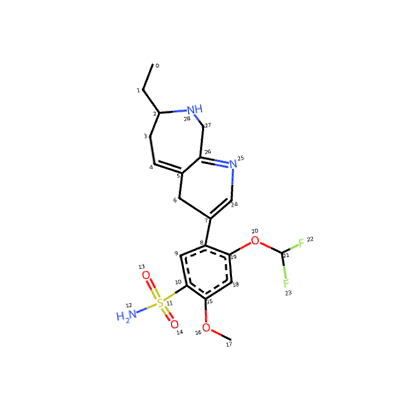 CCC1CC=C2CC(c3cc(S(N)(=O)=O)c(OC)cc3OC(F)F)=CN=C2CN1